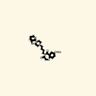 COc1ccc2c(c1)C(=O)N(CCCCN1CCN(c3ncccc3N)CC1)C(=O)CO2